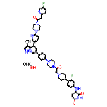 N#Cc1cnn2cc(-c3ccc(N4CCN(C(=O)CN5CCC(c6ccc(NC7CCC(=O)NC7=O)cc6F)CC5)CC4)cc3)cc(-c3ccc(N4CCN(C(=O)Cc5ccc(F)cn5)CC4)nc3)c12.O=CO